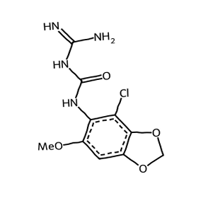 COc1cc2c(c(Cl)c1NC(=O)NC(=N)N)OCO2